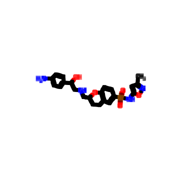 Cc1cc(NS(=O)(=O)c2ccc3c(c2)CCC(CNCC(O)c2ccc(N)cc2)O3)on1